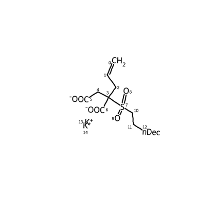 C=CCC(CC(=O)[O-])(C(=O)[O-])S(=O)(=O)CCCCCCCCCCCC.[K+].[K+]